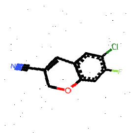 N#CC1=Cc2cc(Cl)c(F)cc2OC1